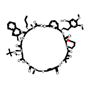 CCCC[C@H]1C(=O)N[C@@H](Cc2ccc3ccccc3c2)C(=O)N(C)[C@@H](COC(C)(C)C)C(=O)NCC(=O)N(C)CC/C=C/C(=O)OCC(C)(C)C(=O)C(=O)N2CCCC[C@H]2C(=O)O[C@H](CCc2cc(OC)c(OC)cc2O)c2cccc(c2)OCC(=O)N1C